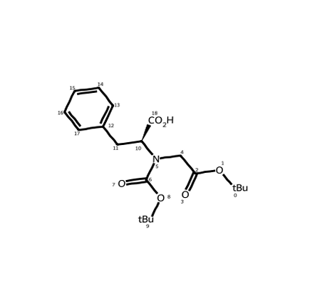 CC(C)(C)OC(=O)CN(C(=O)OC(C)(C)C)[C@@H](Cc1ccccc1)C(=O)O